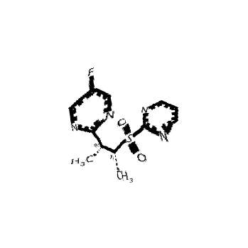 C[C@H](c1ncc(F)cn1)[C@@H](C)S(=O)(=O)c1ncccn1